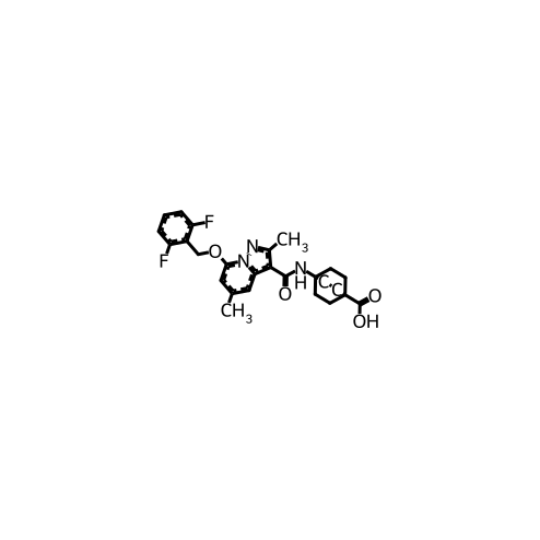 Cc1cc(OCc2c(F)cccc2F)n2nc(C)c(C(=O)NC34CCC(C(=O)O)(CC3)CC4)c2c1